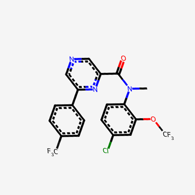 CN(C(=O)c1cncc(-c2ccc(C(F)(F)F)cc2)n1)c1ccc(Cl)cc1OC(F)(F)F